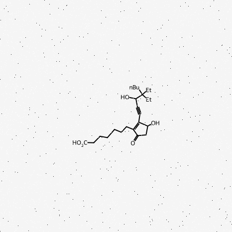 CCCCC(CC)(CC)C(O)C#CC1=C(CCCCCCC(=O)O)C(=O)CC1O